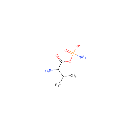 CC(C)C(N)C(=O)OP(N)(=O)O